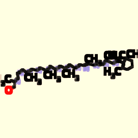 CC1=C(/C=C/C(C)=C/C=C/C(C)=C/C=C/C=C(C)/C=C/C=C(C)/C=C/C=C(C)/C=C\C=C(/C)C=O)C(C)(C)CCC1